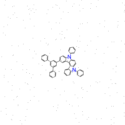 c1ccc(-c2cc(-c3ccccc3)cc(-c3ccc4c(c3)c3c5c6ccccc6n(-c6ccccc6)c5ccc3n4-c3ccccc3)c2)cc1